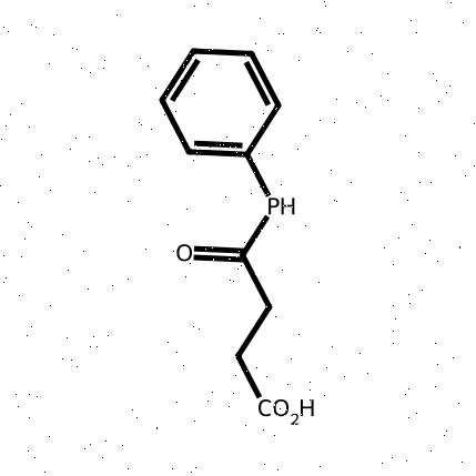 O=C(O)CCC(=O)Pc1ccccc1